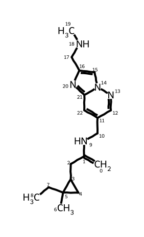 C=C(CC1CC1(C)CC)NCc1cnn2cc(CNC)nc2c1